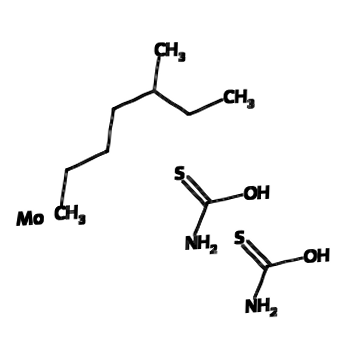 CCCCC(C)CC.NC(O)=S.NC(O)=S.[Mo]